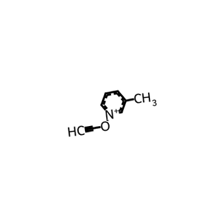 C#CO[n+]1cccc(C)c1